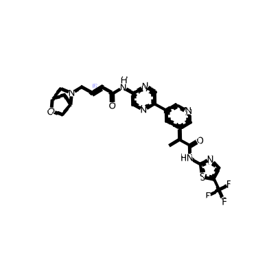 CC(C(=O)Nc1ncc(C(F)(F)F)s1)c1cncc(-c2cnc(NC(=O)/C=C/CN3CC4CC3CO4)cn2)c1